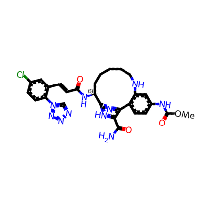 COC(=O)Nc1ccc2c(c1)NCCCCC[C@H](NC(=O)C=Cc1cc(Cl)ccc1-n1cnnn1)c1nc-2c(C(N)=O)[nH]1